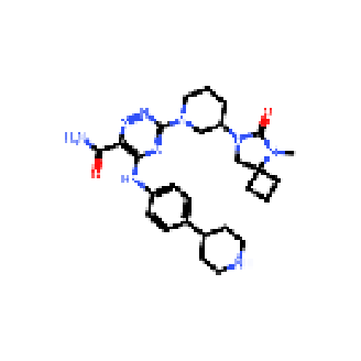 CN1C(=O)N(C2CCCN(c3nnc(C(N)=O)c(Nc4ccc(C5CCNCC5)cc4)n3)C2)CC12CCC2